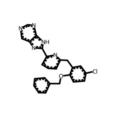 Clc1ccc(OCc2ccccc2)c(Cc2cccc(-c3nc4cncnc4[nH]3)n2)c1